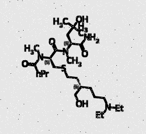 CCCC(=O)N(C)[C@H](CSCC[C@@H](CO)CCCN(CC)CC)C(=O)N(C)[C@@H](CC(C)(C)O)C(N)=O